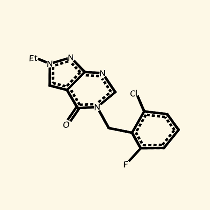 CCn1cc2c(=O)n(Cc3c(F)cccc3Cl)cnc2n1